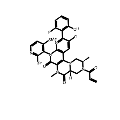 C=CC(=O)N1C[C@@H]2C(=O)N(C)c3c(c4cc(Cl)c(-c5c(O)cccc5F)nc4n(-c4c(SC)ccnc4C(C)C)c3=O)N2C[C@H]1C